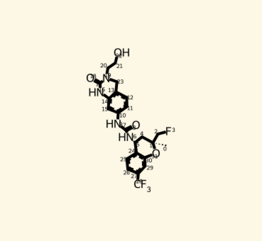 C[C@@]1(CF)C[C@@H](NC(=O)Nc2ccc3c(c2)NC(=O)N(CCO)C3)c2ccc(C(F)(F)F)cc2O1